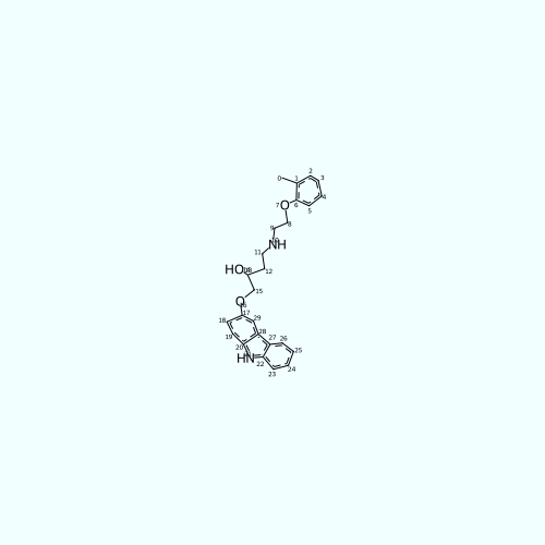 Cc1ccccc1OCCNCCC(O)COc1ccc2[nH]c3ccccc3c2c1